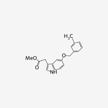 COC(=O)Cc1c[nH]c2ccc(OCc3cccc(C)c3)cc12